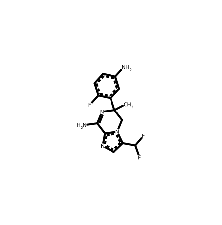 CC1(c2cc(N)ccc2F)Cn2c(C(F)F)cnc2C(N)=N1